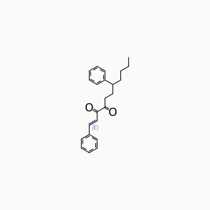 CCCCC(CCC(=O)C(=O)/C=C/c1ccccc1)c1ccccc1